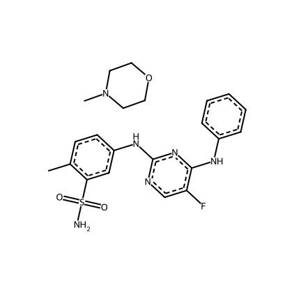 CN1CCOCC1.Cc1ccc(Nc2ncc(F)c(Nc3ccccc3)n2)cc1S(N)(=O)=O